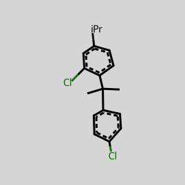 CC(C)c1ccc(C(C)(C)c2ccc(Cl)cc2)c(Cl)c1